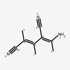 C/C(N)=C(C#N)\C(C)=C(/C)C#N